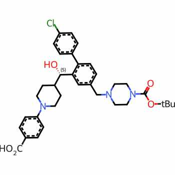 CC(C)(C)OC(=O)N1CCN(Cc2ccc(-c3ccc(Cl)cc3)c([C@@H](O)C3CCN(c4ccc(C(=O)O)cc4)CC3)c2)CC1